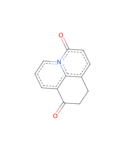 O=C1CCc2ccc(=O)n3cccc1c23